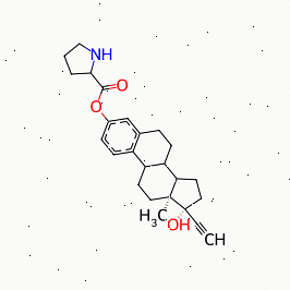 C#C[C@]1(O)CCC2C3CCc4cc(OC(=O)C5CCCN5)ccc4C3CC[C@@]21C